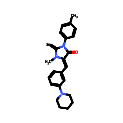 Cc1ccc(N2C(=O)C(=Cc3cccc(N4CCCCC4)c3)N(C)C2=[Se])cc1